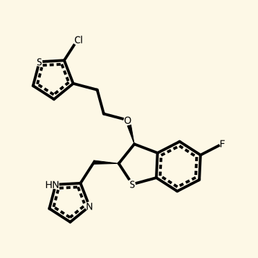 Fc1ccc2c(c1)[C@H](OCCc1ccsc1Cl)[C@H](Cc1ncc[nH]1)S2